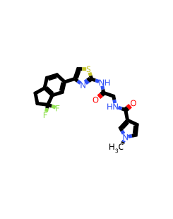 Cn1ccc(C(=O)NCC(=O)Nc2nc(-c3ccc4c(c3)C(F)(F)CC4)cs2)c1